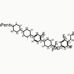 CCCCCC1CCC(C2CCC(c3ccc(C4CCC(C(F)(F)Oc5cc(F)c(CCF)c(F)c5)CC4)c(F)c3)CC2)CC1